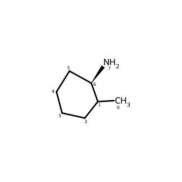 CC1CCCC[C@H]1N